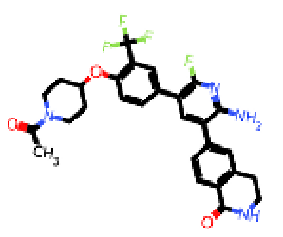 CC(=O)N1CCC(Oc2ccc(-c3cc(-c4ccc5c(c4)CCNC5=O)c(N)nc3F)cc2C(F)(F)F)CC1